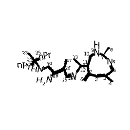 C=C1/C=C(C)\C=N/[C@H](C)NCC1C(C)/N=C\C(C)=C(/N)CNC(C)(CCC)CCC